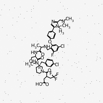 CC(NCc1c(F)cc(Cl)cc1Oc1ccc(-c2cnc(CN(C)C)n2C)cc1)C(=O)NC(CO)C(=O)N(C)[C@@]1(Cc2ccc(Cl)cc2)CCCN(C(=O)C(CC(=O)O)CC(F)(F)F)C1